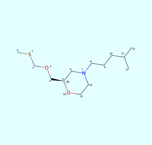 CSCOC[C@H]1CN(CCCC(C)C)CCO1